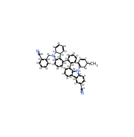 CC1C=CC=C(n2c3ccc(C#N)cc3c3cccc(-c4ccccc4-c4cccc5c4C4C=CC=CC4N5Cc4ccccc4C#N)c32)C1